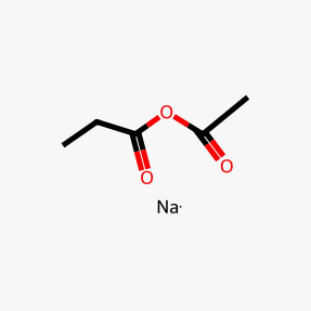 CCC(=O)OC(C)=O.[Na]